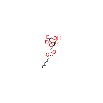 C/C=C(C)/C=C/C=C/C(OC)C(C)C(OC)C(C)CCc1oc2c(OC)c(OC)cc(O)c2c(=O)c1C